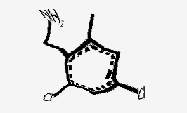 Cc1cc(Cl)cc(Cl)c1CN